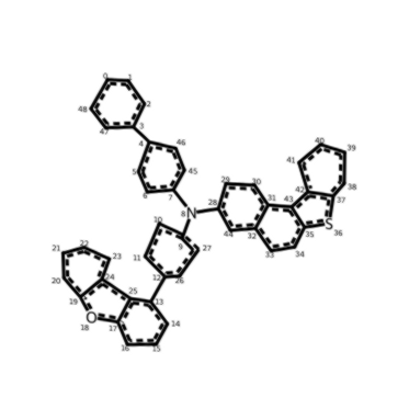 c1ccc(-c2ccc(N(c3ccc(-c4cccc5oc6ccccc6c45)cc3)c3ccc4c(ccc5sc6ccccc6c54)c3)cc2)cc1